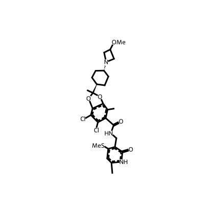 COC1CN([C@H]2CC[C@H](C3(C)Oc4c(C)c(C(=O)NCc5c(SC)cc(C)[nH]c5=O)c(Cl)c(Cl)c4O3)CC2)C1